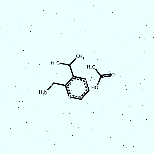 CC(=O)O.CC(C)c1cccnc1CN